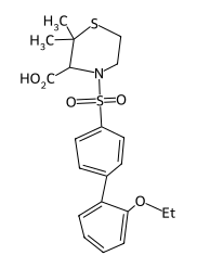 CCOc1ccccc1-c1ccc(S(=O)(=O)N2CCSC(C)(C)C2C(=O)O)cc1